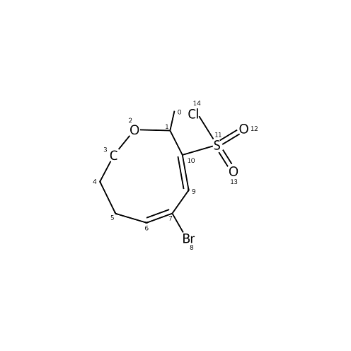 CC1OCCC/C=C(Br)\C=C/1S(=O)(=O)Cl